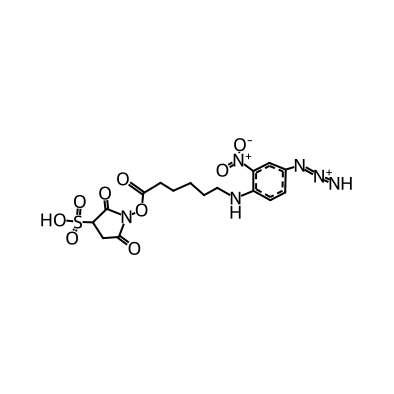 N=[N+]=Nc1ccc(NCCCCCC(=O)ON2C(=O)CC(S(=O)(=O)O)C2=O)c([N+](=O)[O-])c1